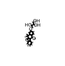 CC1(C)c2cc(OCC(O)C(O)CO)ccc2C(=O)c2c1oc1cnccc21